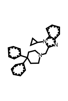 c1ccc(C2(c3ccccc3)CCN(Cc3nc4ccccc4n3C3CC3)CC2)cc1